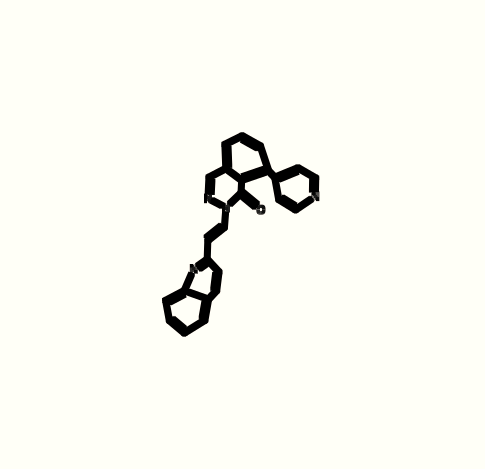 O=c1c2c(-c3ccncc3)cccc2cnn1/C=C/c1ccc2ccccc2n1